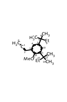 C=C=Cc1cc(C(C)(C)CC)cc(C(C)(C)CC)c1OC